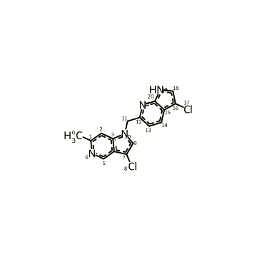 Cc1cc2c(cn1)c(Cl)cn2Cc1ccc2c(Cl)c[nH]c2n1